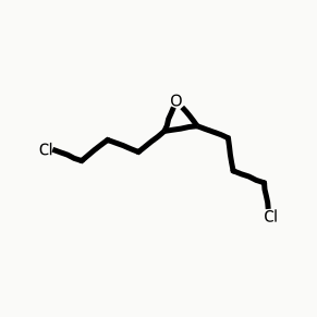 ClCCCC1OC1CCCCl